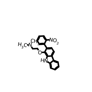 CN(C)CCOc1c(-c2ccccc2[N+](=O)[O-])ccc2c1[nH]c1ccccc12